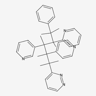 CC(C)(c1cccnn1)C(C)(c1ccncc1)C(C)(c1cccnc1)C(C)(c1ccccn1)C(C)(C)c1ccccc1